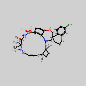 CN1C/C=C/[CH][C@@H]2CC[C@H]2CN2C[C@@]3(CCCc4cc(Cl)ccc43)COc3ccc(cc32)S(=O)(=O)NC(=O)C1(C)C